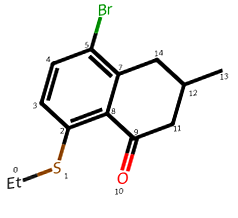 CCSc1ccc(Br)c2c1C(=O)CC(C)C2